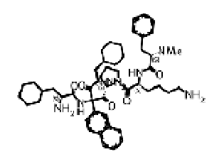 CN[C@@H](Cc1ccccc1)C(=O)N[C@@H](CCCCN)C(=O)N1CCC[C@H]1C(=O)C(NC(=O)[C@@H](N)CC1CCCCC1)(C(=O)[C@H](N)CC1CCCCC1)c1ccc2ccccc2c1